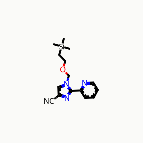 C[Si](C)(C)CCOCn1cc(C#N)nc1-c1ccccn1